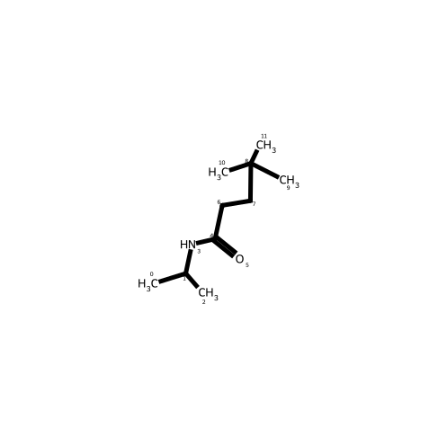 CC(C)NC(=O)CCC(C)(C)C